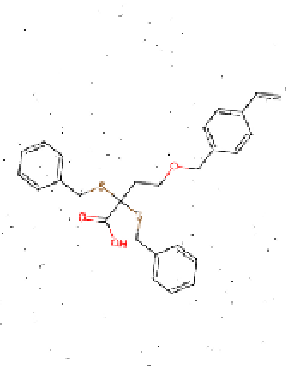 C=Cc1ccc(COCCC(SCc2ccccc2)(SCc2ccccc2)C(=O)O)cc1